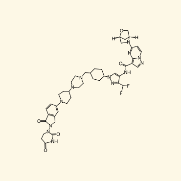 O=C1CCN(N2Cc3cc(N4CCC(N5CCN(CC6CCC(n7cc(NC(=O)c8cnn9ccc(N%10C[C@H]%11C[C@@H]%10CO%11)nc89)c(C(F)F)n7)CC6)CC5)CC4)ccc3C2=O)C(=O)N1